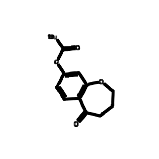 CC(C)(C)C(=O)Oc1ccc2c(c1)OCCCC2=O